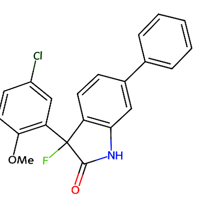 COc1ccc(Cl)cc1C1(F)C(=O)Nc2cc(-c3ccccc3)ccc21